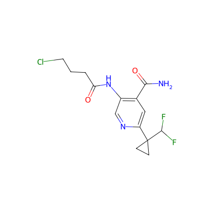 NC(=O)c1cc(C2(C(F)F)CC2)ncc1NC(=O)CCCCl